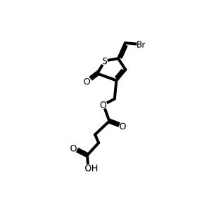 O=C(O)CCC(=O)OCC1=CC(=CBr)SC1=O